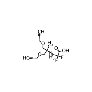 C#CCOCC(C)(N)COCC#C.O=C(O)C(F)(F)F